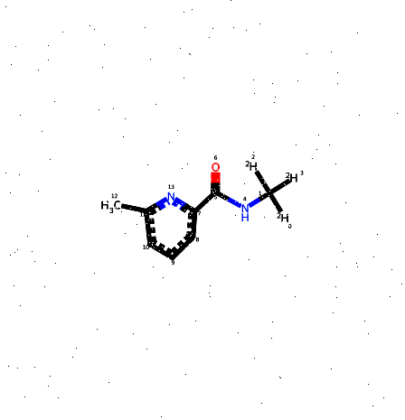 [2H]C([2H])([2H])NC(=O)c1cccc(C)n1